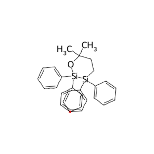 CC1(C)CC[Si](c2ccccc2)(c2ccccc2)[Si](c2ccccc2)(c2ccccc2)O1